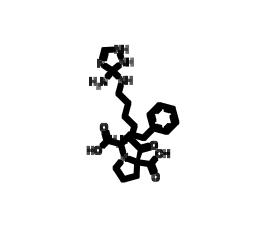 N[C@@H](CCCCNC1(N)N=CNN1)C(=O)[C@@]1(C(=O)O)CCCN1C(CCc1ccccc1)C(=O)O